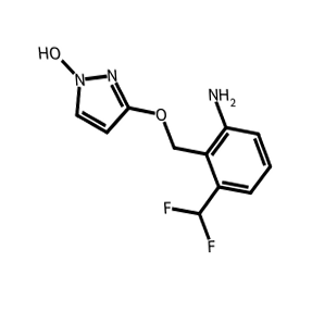 Nc1cccc(C(F)F)c1COc1ccn(O)n1